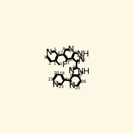 Cc1ccncc1-c1cnc2[nH]nc(-c3nc4c(-c5cccnc5)nccc4[nH]3)c2c1F